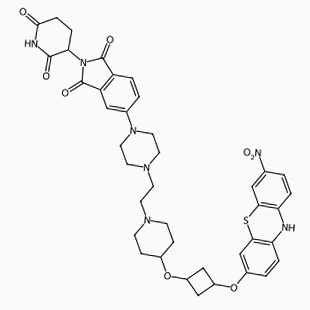 O=C1CCC(N2C(=O)c3ccc(N4CCN(CCN5CCC(OC6CC(Oc7ccc8c(c7)Sc7cc([N+](=O)[O-])ccc7N8)C6)CC5)CC4)cc3C2=O)C(=O)N1